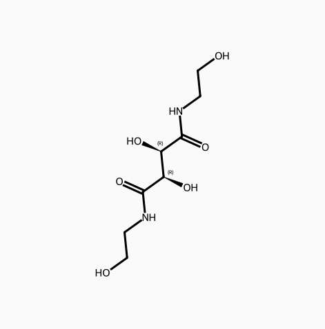 O=C(NCCO)[C@H](O)[C@@H](O)C(=O)NCCO